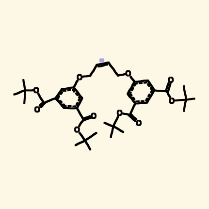 CC(C)(C)OC(=O)c1cc(OC/C=C\COc2cc(C(=O)OC(C)(C)C)cc(C(=O)OC(C)(C)C)c2)cc(C(=O)OC(C)(C)C)c1